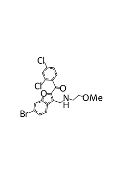 COCCNCc1c(C(=O)c2ccc(Cl)cc2Cl)oc2cc(Br)ccc12